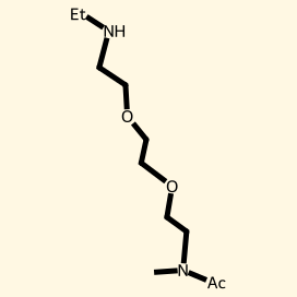 CCNCCOCCOCCN(C)C(C)=O